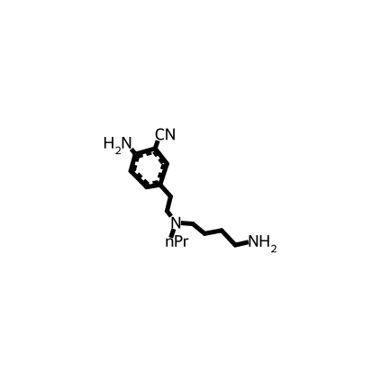 CCCN(CCCCN)CCc1ccc(N)c(C#N)c1